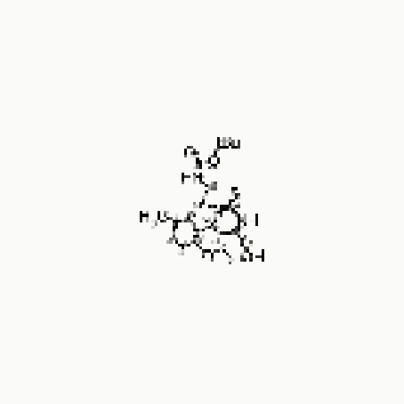 Cc1ccc(OCCO)c(-c2cc(=O)[nH]c(=S)n2CCNC(=O)OC(C)(C)C)c1